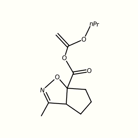 C=C(OCCC)OC(=O)C12CCCC1C(C)=NO2